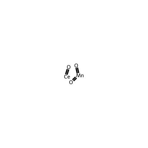 [O]=[Ce].[O]=[Mn]=[O]